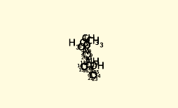 CC(C)(C)OC(=O)N1CCC(Nc2ccccc2C(O)c2ccccc2)CC1